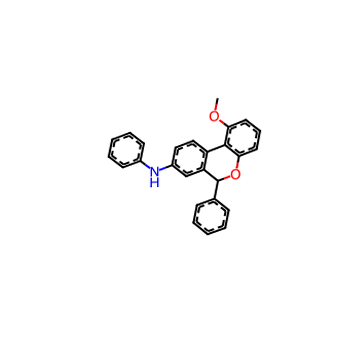 COc1cccc2c1-c1ccc(Nc3ccccc3)cc1C(c1ccccc1)O2